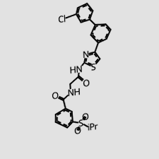 CC(C)S(=O)(=O)c1cccc(C(=O)NCC(=O)Nc2nc(-c3cccc(-c4cccc(Cl)c4)c3)cs2)c1